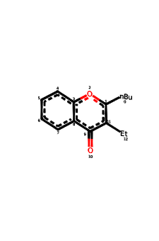 CCCCc1oc2ccccc2c(=O)c1CC